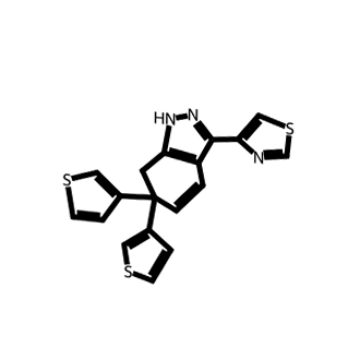 C1=CC(c2ccsc2)(c2ccsc2)Cc2[nH]nc(-c3cscn3)c21